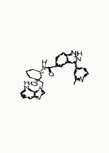 Cc1cc(-c2n[nH]c3ccc(C(=O)N[C@@H]4CCC[C@](O)(Cn5cnc6cccnc65)C4)cc23)ccn1